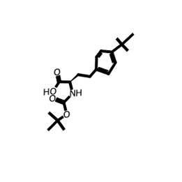 CC(C)(C)OC(=O)N[C@H](CCc1ccc(C(C)(C)C)cc1)C(=O)O